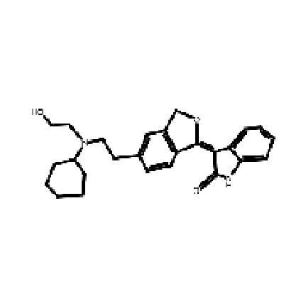 O=C1Nc2ccccc2/C1=C1\OCc2cc(CCN(CCO)C3CCCCC3)ccc21